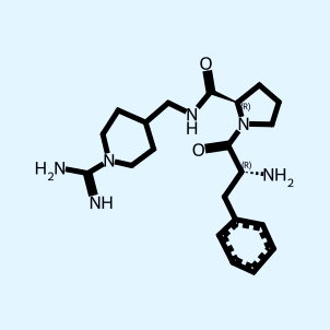 N=C(N)N1CCC(CNC(=O)[C@H]2CCCN2C(=O)[C@H](N)Cc2ccccc2)CC1